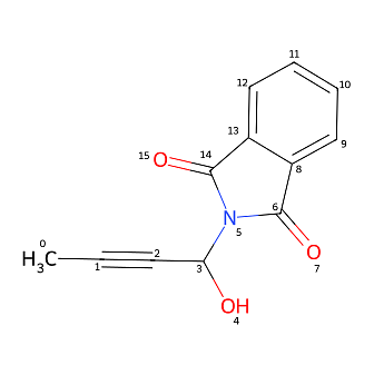 CC#CC(O)N1C(=O)c2ccccc2C1=O